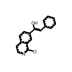 OC(=Cc1ccccc1)c1ccc2ccnc(Cl)c2c1